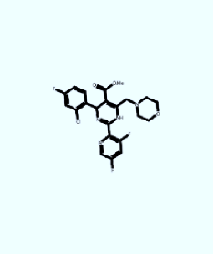 COC(=O)C1=C(CN2CCOCC2)NC(c2ncc(F)cc2F)=NC1c1ccc(F)cc1Cl